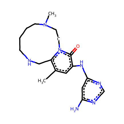 Cc1cc(Nc2cc(N)ncn2)c(=O)n2c1CNCCCCN(C)CC2